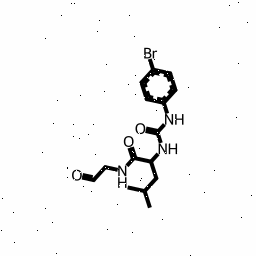 CC(C)CC(NC(=O)Nc1ccc(Br)cc1)C(=O)NCC=O